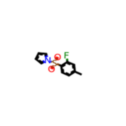 Cc1ccc(S(=O)(=O)n2cccc2)c(F)c1